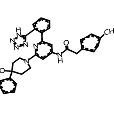 Cc1ccc(CC(=O)Nc2cc(-c3ccccc3-c3nnn[nH]3)nc(N3CCC(O)(c4ccccc4)CC3)c2)cc1